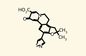 CC1(C)Cc2c3c(cc(-c4cnsc4)c2O1)-c1cc(=O)c(C(=O)O)cn1CC3